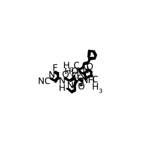 CC1CCC(CC(C)(O)c2cc(-c3ccccc3)on2)C1NS(=O)(=O)c1c(Cl)c(C(=O)Nc2cc(F)nc(C#N)c2)n2c1C=CC2